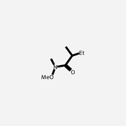 CCC(C)C(=O)N(C)OC